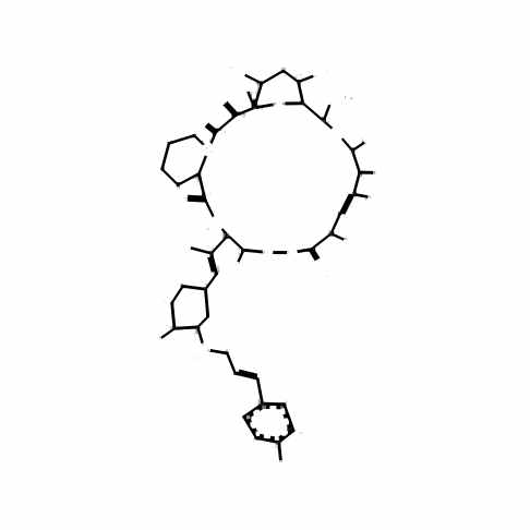 CCC1/C=C(\C)C(F)C(C)CC(OC)C2OC(O)(C(=O)C(=O)N3CCCCC3C(=O)OC(C(C)=CC3CCC(N)C(OCC=Cc4ccc(F)cc4)C3)C(C)CCC1=O)C(C)CC2OC